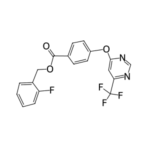 O=C(OCc1ccccc1F)c1ccc(Oc2cc(C(F)(F)F)ncn2)cc1